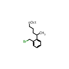 CCCCCCCCCCCC(C)c1ccccc1CBr